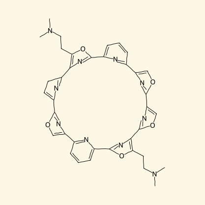 CN(C)CCc1oc2nc1C1=NC(=CC1)c1nc(co1)-c1cccc(n1)-c1nc(c(CCN(C)C)o1)-c1nc(co1)-c1nc(co1)-c1cccc-2n1